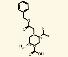 C[C@@H]1CN(CC(=O)OCc2ccccc2)[C@@H](C(F)F)CN1C(=O)O